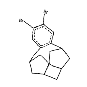 Brc1cc2c(cc1Br)C1CC3CC4CC2CC43C1